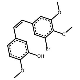 COc1ccc(/C=C\c2cc(Br)c(OC)c(OC)c2)cc1O